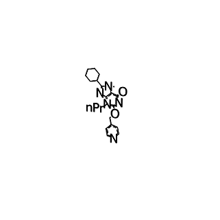 CCCn1c(OCc2ccncc2)nc(=O)c2c1N=C(C1CCCCC1)[N]2